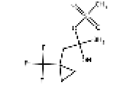 BC(O)(CC1(C(F)(F)F)CC1)OS(C)(=O)=O